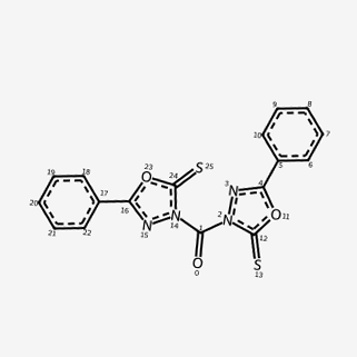 O=C(n1nc(-c2ccccc2)oc1=S)n1nc(-c2ccccc2)oc1=S